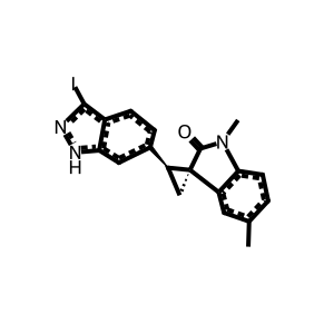 Cc1ccc2c(c1)[C@]1(C[C@H]1c1ccc3c(I)n[nH]c3c1)C(=O)N2C